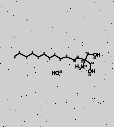 CCCCCCCCCCCCC(N)(CO)CO.Cl